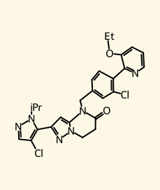 CCOc1cccnc1-c1ccc(CN2C(=O)CCn3nc(-c4c(Cl)cnn4C(C)C)cc32)cc1Cl